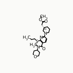 CCCSc1nc(N2CCC[C@@H](CC(=O)OC)C2)ccc1C(=O)N(C)C1CCOCC1